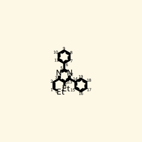 CC/C=C\c1nc(-c2ccccc2)nc(-c2ccccc2)c1CC